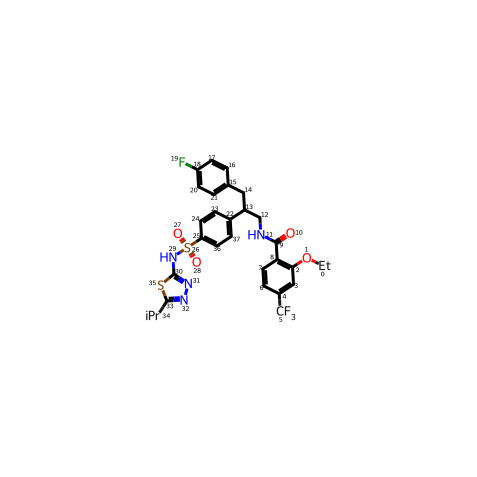 CCOc1cc(C(F)(F)F)ccc1C(=O)NCC(Cc1ccc(F)cc1)c1ccc(S(=O)(=O)Nc2nnc(C(C)C)s2)cc1